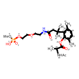 COP(=O)(O)OCCOCCNC(=O)CC(C)(C)c1c(C)ccc(C)c1OC(=O)C(C)NC(C)=O